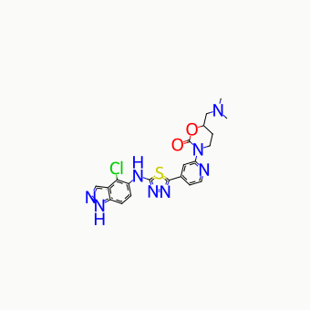 CN(C)CC1CCN(c2cc(-c3nnc(Nc4ccc5[nH]ncc5c4Cl)s3)ccn2)C(=O)O1